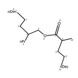 CCCCCCCCCCCCC(CCC)COC(=O)C(C)CCCCCCCCCCCC